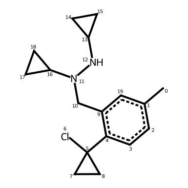 Cc1ccc(C2(Cl)CC2)c(CN(NC2CC2)C2CC2)c1